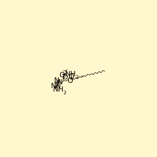 CCCCCCCCCCCC=CCCCCC(=O)OCCC(COC(=O)[C@@H](N)C(C)C)Cn1cnc2cnc(N)nc21